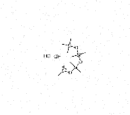 C[SiH2]O[Si](C)(C)O[Si](C)(C)O[Si](C)(C)C.Cl.Cl